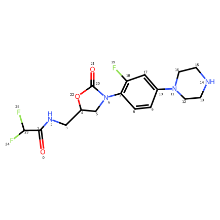 O=C(NCC1CN(c2ccc(N3CCNCC3)cc2F)C(=O)O1)C(F)F